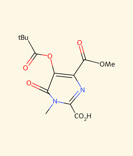 COC(=O)c1nc(C(=O)O)n(C)c(=O)c1OC(=O)C(C)(C)C